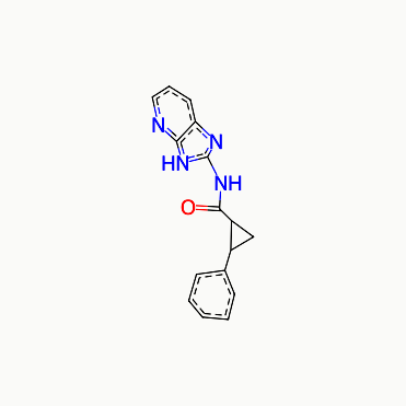 O=C(Nc1nc2cccnc2[nH]1)C1CC1c1ccccc1